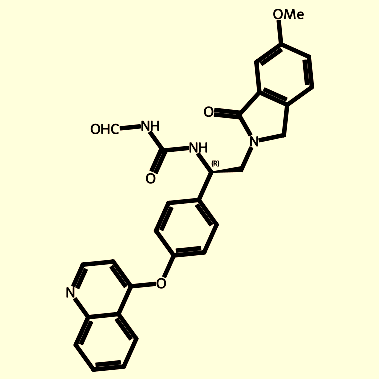 COc1ccc2c(c1)C(=O)N(C[C@H](NC(=O)NC=O)c1ccc(Oc3ccnc4ccccc34)cc1)C2